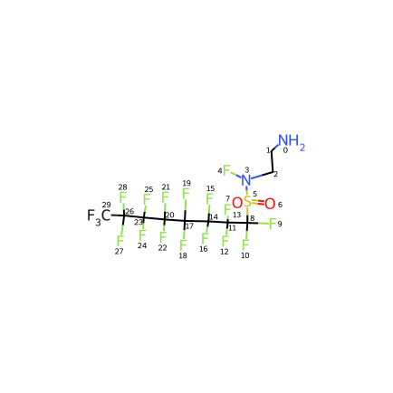 NCCN(F)S(=O)(=O)C(F)(F)C(F)(F)C(F)(F)C(F)(F)C(F)(F)C(F)(F)C(F)(F)C(F)(F)F